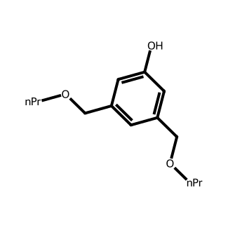 CCCOCc1cc(O)cc(COCCC)c1